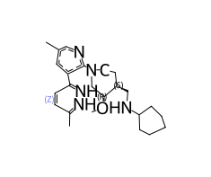 CO[C@H]1CN(c2ncc(C)cc2C(=N)/C=C\C(C)=N)CC[C@H]1CNC1CCCCC1